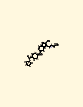 CCO/C=C/c1c(C#N)oc2cnc(NC3CCC(N(C)[C@H]4CCOC4)CC3)cc12